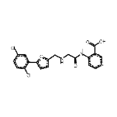 O=C(CNCc1ccc(-c2cc(Cl)ccc2Cl)o1)Nc1ccncc1C(=O)O